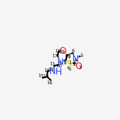 CSC(=O)N(C)C[C@H]1CN(CCNCC(C)C)CCO1